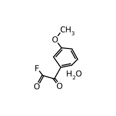 COc1cccc(C(=O)C(=O)F)c1.O